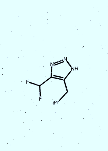 CC(C)Cc1[nH]nnc1C(F)F